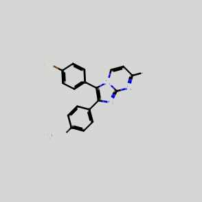 COc1ccc(-c2nc3nc(C)ccn3c2-c2ccc(Br)cc2)cc1